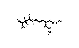 CNC(=O)C(C)(C)C(=O)NCCCN(CCOC)CCOC